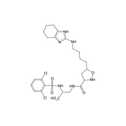 O=C(O)C(CNC(=O)C1CC(CCCCNc2nc3c([nH]2)CCCC3)ON1)NS(=O)(=O)c1c(Cl)cccc1Cl